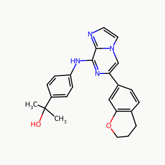 CC(C)(O)c1ccc(Nc2nc(-c3ccc4c(c3)OCCC4)cn3ccnc23)cc1